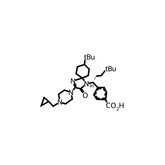 CC(C)(C)CC[C@H](c1ccc(C(=O)O)cc1)N1C(=O)C(N2CCN(CC3CC3)CC2)=NC12CCC(C(C)(C)C)CC2